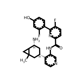 CC12CC1[C@H](N)C[C@H](c1ccncc1NC(=O)c1ccc(F)c(-c3ccc(O)cc3F)n1)C2